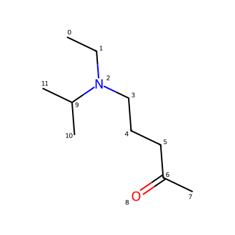 CCN(CCCC(C)=O)C(C)C